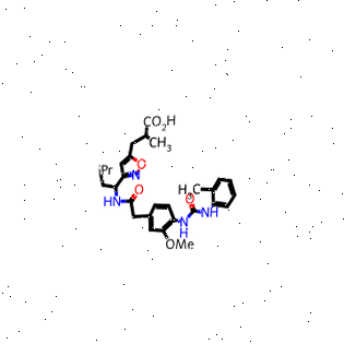 COc1cc(CC(=O)NC(CC(C)C)c2cc(CC(C)C(=O)O)on2)ccc1NC(=O)Nc1ccccc1C